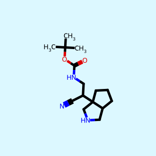 CC(C)(C)OC(=O)NCC(C#N)C12CCCC1CNC2